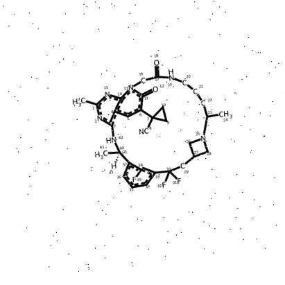 Cc1nc2c3cc(C4(C#N)CC4)c(=O)n(c3n1)CC(=O)NCCCC(C)N1CC(C1)CC(F)(F)c1cccc(c1F)[C@@H](C)N2